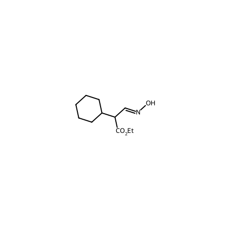 CCOC(=O)C(C=NO)C1CCCCC1